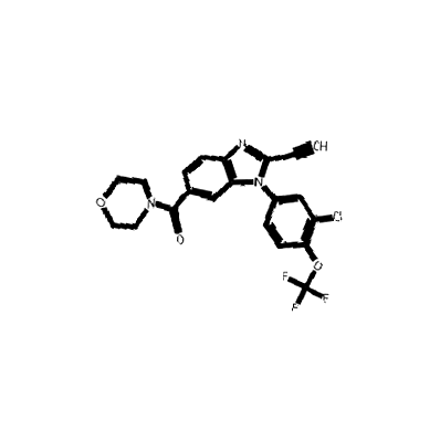 C#Cc1nc2ccc(C(=O)N3CCOCC3)cc2n1-c1ccc(OC(F)(F)F)c(Cl)c1